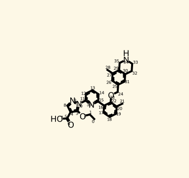 CCOc1c(C(=O)O)cnn1-c1cccc(-c2cccc(C)c2OCc2cc(C)c3c(c2)CCNC3)n1